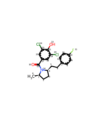 C[C@@H]1CC[C@H](CCc2ccc(F)cc2)N1C(=O)c1cc(Cl)c(O)c(Cl)c1